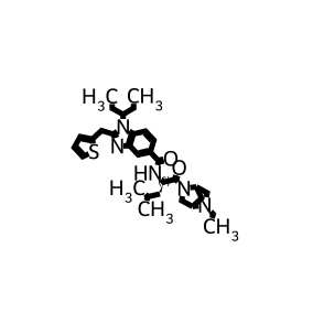 CCC(CC)n1c(Cc2cccs2)nc2cc(C(=O)N[C@@H](CC(C)C)C(=O)N3CC4CC3CN4CC)ccc21